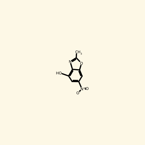 Cc1nc2c(O)cc([N+](=O)[O-])cc2o1